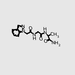 CC(NC(=O)CNC(=O)Cn1ncc2ccccc21)C(N)=O